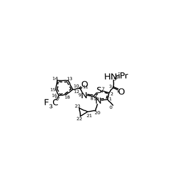 Cc1c(C(=O)NC(C)C)s/c(=N\C(=O)c2cccc(C(F)(F)F)c2)n1CC1CC1